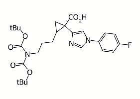 CC(C)(C)OC(=O)N(CCCC1CC1(C(=O)O)c1cn(-c2ccc(F)cc2)cn1)C(=O)OC(C)(C)C